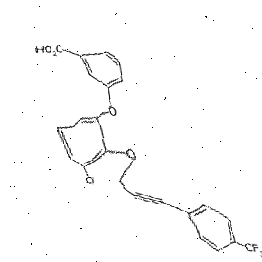 O=C(O)c1cccc(Oc2cccc(Cl)c2OCC#Cc2ccc(C(F)(F)F)cc2)c1